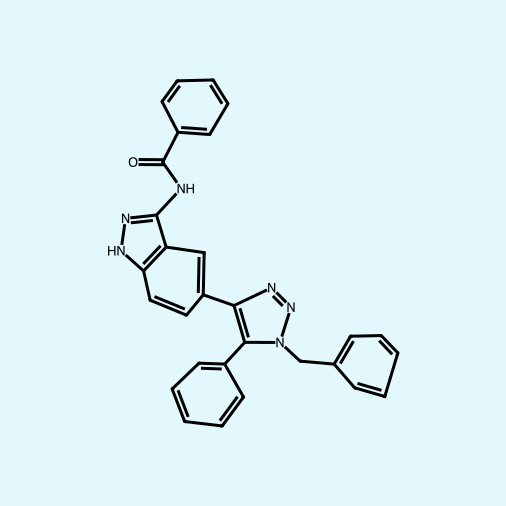 O=C(Nc1n[nH]c2ccc(-c3nnn(Cc4ccccc4)c3-c3ccccc3)cc12)c1ccccc1